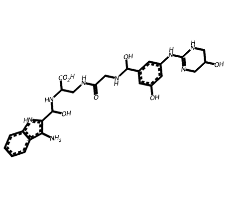 Nc1c(C(O)NC(CNC(=O)CNC(O)c2cc(O)cc(NC3=NCC(O)CN3)c2)C(=O)O)[nH]c2ccccc12